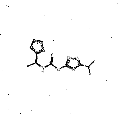 CC(C)c1noc(OC(=O)NC(C)c2cccs2)n1